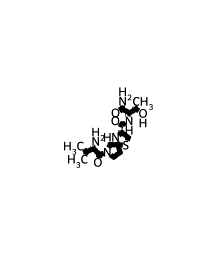 CC(C)[C@H](N)C(=O)N1CCC2(C1)N[C@H](C(=O)N[C@H](C(N)=O)[C@@H](C)O)CS2